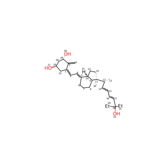 C=C1/C(=C\C=C2/CCC[C@]3(C)[C@@H]([C@H](C)/C=C/C=C/C(O)(CC)CC)CC[C@@H]23)C[C@@H](O)C[C@@H]1O